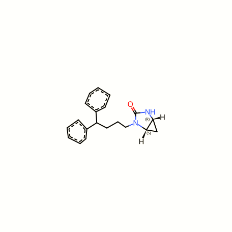 O=C1N[C@@H]2C[C@@H]2N1CCCC(c1ccccc1)c1ccccc1